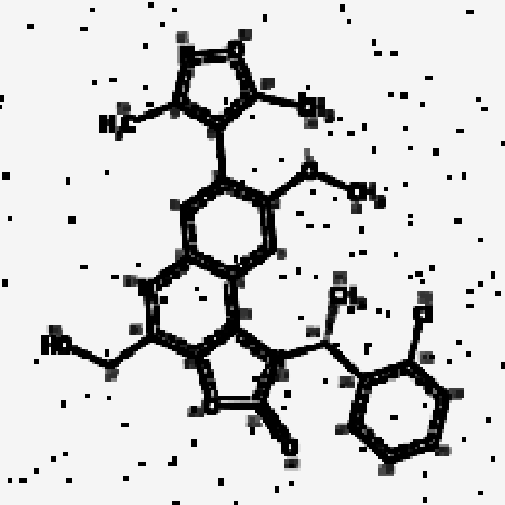 COc1cc2c(cc1-c1c(C)noc1C)nc(CO)c1oc(=O)n([C@H](C)c3ccccc3Cl)c12